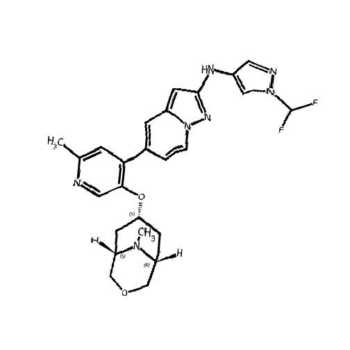 Cc1cc(-c2ccn3nc(Nc4cnn(C(F)F)c4)cc3c2)c(O[C@H]2C[C@H]3COC[C@@H](C2)N3C)cn1